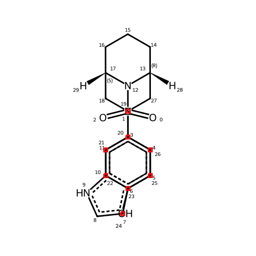 O=S(=O)(c1ccc2cc[nH]c2c1)N1[C@@H]2CCC[C@H]1CN(c1ccc(O)cc1)C2